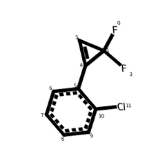 FC1(F)C=C1c1ccccc1Cl